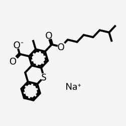 Cc1c(C(=O)OCCCCCC(C)C)cc2c(c1C(=O)[O-])Cc1ccccc1S2.[Na+]